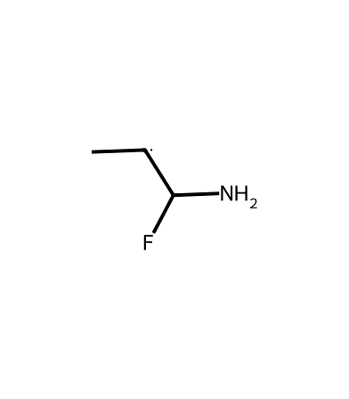 C[CH]C(N)F